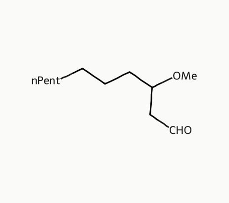 CCCCCCCCC(CC=O)OC